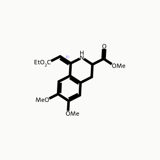 CCOC(=O)/C=C1/NC(C(=O)OC)Cc2cc(OC)c(OC)cc21